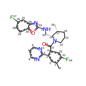 Cc1cc(-c2ncccn2)c(C(=O)N2CCC[C@@H](C)[C@H]2CNc2nc3cc(F)ccc3o2)cc1F